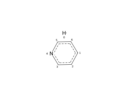 [H].c1ccncc1